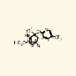 CC(C)(C)[C@@]1(Oc2ccc(C(F)(F)F)cn2)C[C@H]2C[C@@H]1N(C(=O)O)C2